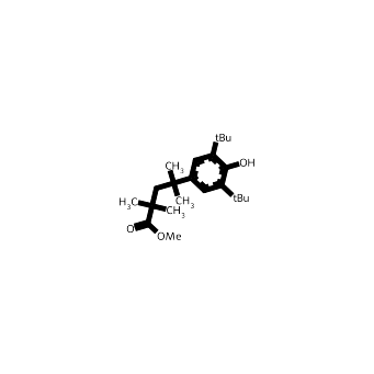 COC(=O)C(C)(C)CC(C)(C)c1cc(C(C)(C)C)c(O)c(C(C)(C)C)c1